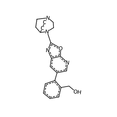 OCc1ccccc1-c1cnc2oc(N3CCN4CCC3CC4)nc2c1